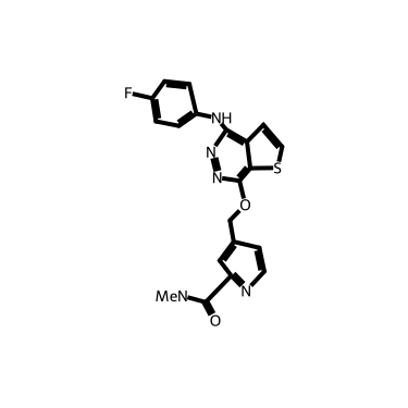 CNC(=O)c1cc(COc2nnc(Nc3ccc(F)cc3)c3ccsc23)ccn1